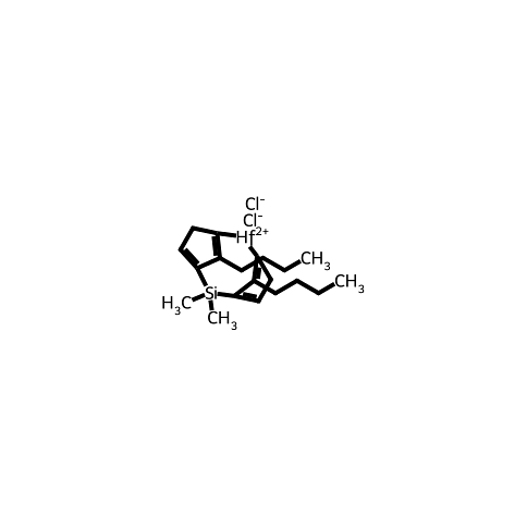 CCCCC1=[C]2CC=C1[Si](C)(C)C1=CC[C](=C1CCCC)[Hf+2]2.[Cl-].[Cl-]